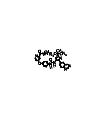 CNC(=O)c1cc(Oc2ccc(NC(=O)Nc3cn(C(C)(C)C)nc3-c3ccc4ncncc4c3)cc2)ccn1